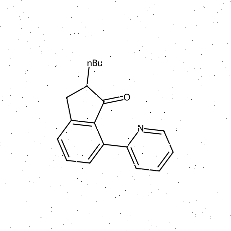 CCCCC1Cc2cccc(-c3ccccn3)c2C1=O